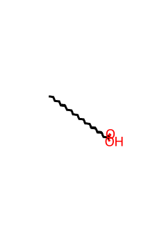 CCCCC=CCCCCCCCCC=CC=CCC(=O)O